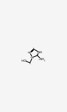 NC1NC=NN1CO